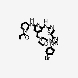 C=CC(=O)N1CCC[C@H](Nc2cc(CN3CCOCC3)cc(Nc3ncc(-c4nnn(-c5ccc(Br)cc5)n4)s3)n2)C1